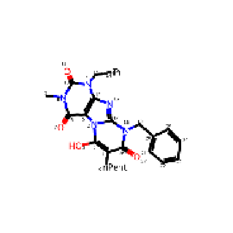 CCCCCc1c(O)n2c3c(=O)n(C)c(=O)n(CC(C)C)c3nc2n(Cc2ccccc2)c1=O